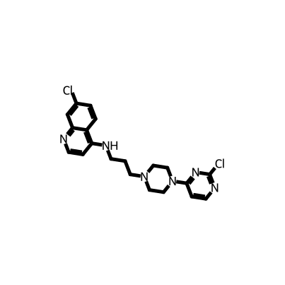 Clc1ccc2c(NCCCN3CCN(c4ccnc(Cl)n4)CC3)ccnc2c1